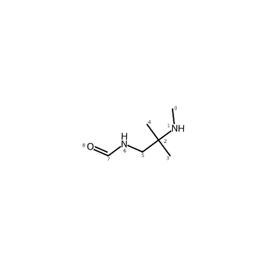 CNC(C)(C)CNC=O